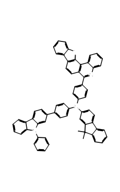 CC1(C)c2ccccc2-c2ccc(N(c3ccc(-c4ccc5c6ccccc6n(-c6ccccc6)c5c4)cc3)c3ccc(-c4nc5ccccc5c5c4ccc4c6ccccc6sc45)cc3)cc21